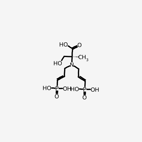 C[C@](CO)(C(=O)O)N(CC=CP(=O)(O)O)CC=CP(=O)(O)O